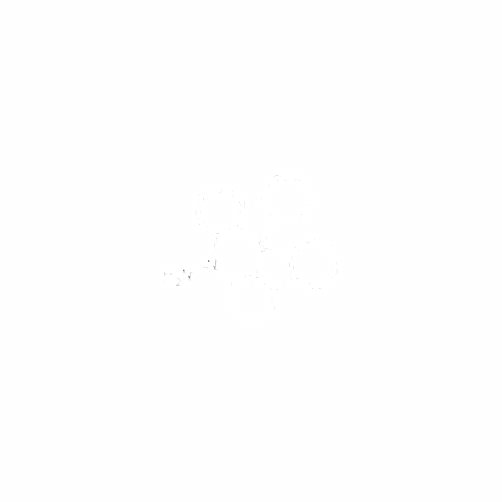 NN1c2ccccc2S(c2ccccc2)(c2ccccc2)c2ccccc21